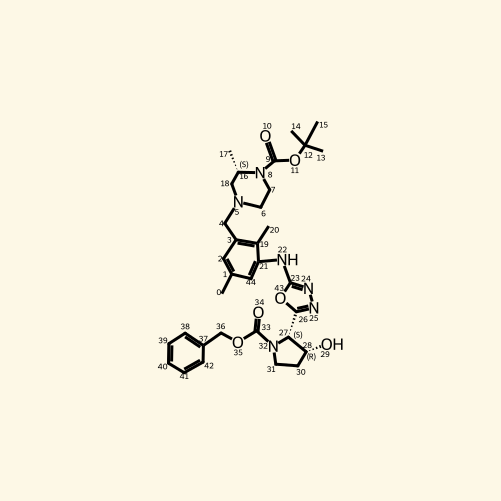 Cc1cc(CN2CCN(C(=O)OC(C)(C)C)[C@@H](C)C2)c(C)c(Nc2nnc([C@@H]3[C@H](O)CCN3C(=O)OCc3ccccc3)o2)c1